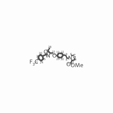 COC(=O)C1CSCN1CCc1ccc(OCc2nc(-c3ccc(C(F)(F)F)cc3)oc2C)cc1